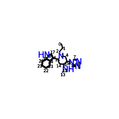 CCCN1CC(n2cnnc2)C(NC)CC1c1c[nH]c2ccccc12